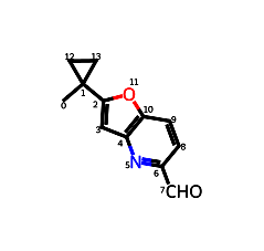 CC1(c2cc3nc(C=O)ccc3o2)CC1